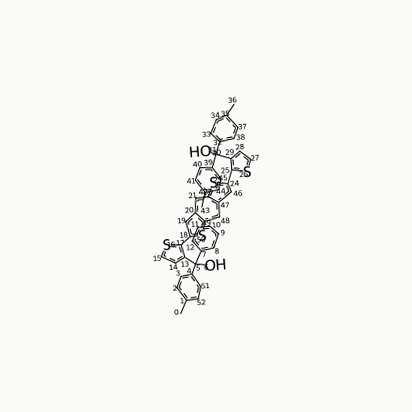 Cc1ccc(C(O)(c2ccccc2)c2ccsc2-c2cc3cc4sc(-c5sccc5C(O)(c5ccc(C)cc5)c5ccc(C)cc5)cc4cc3s2)cc1